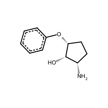 N[C@H]1CC[C@@H](Oc2ccccc2)[C@H]1O